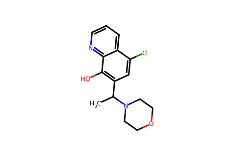 CC(c1cc(Cl)c2cccnc2c1O)N1CCOCC1